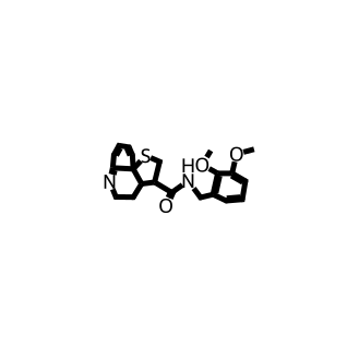 COc1cccc(CNC(=O)C2CSC34C=CC=CC3=NCCC24)c1OC